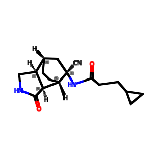 N#C[C@]1(NC(=O)CCC2CC2)C[C@@H]2CC[C@H]1[C@H]1C(=O)NC[C@@H]21